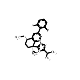 CC[C@H]1CC[C@](CC)(c2nnc(C(C)C)o2)c2nnc(-c3c(F)cccc3F)cc21